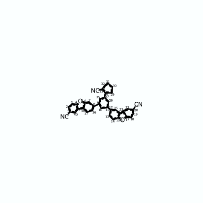 N#Cc1ccc2oc3cc(-c4cc(-c5ccc6oc7ccc(C#N)cc7c6c5)cc(-c5ccccc5C#N)c4)ccc3c2c1